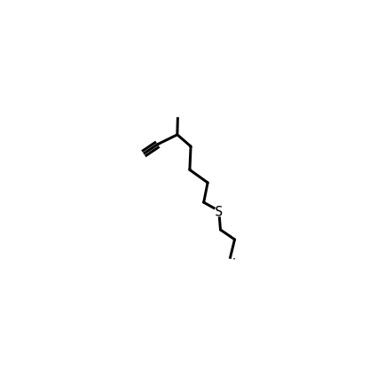 C#CC(C)CCCCSCC[CH2]